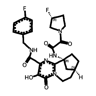 O=C(N[C@@]12CC[C@@H](CCn3c1nc(C(=O)NCc1ccc(F)cc1)c(O)c3=O)C2)C(=O)N1CC[C@@H](F)C1